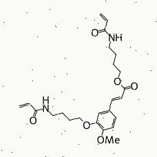 C=CC(=O)NCCCCOC(=O)C=Cc1ccc(OC)c(OCCCCNC(=O)C=C)c1